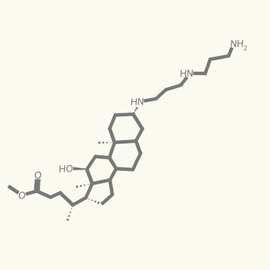 COC(=O)CC[C@@H](C)[C@H]1CCC2C3CCC4C[C@@H](NCCCNCCCN)CC[C@]4(C)C3C[C@H](O)[C@@]21C